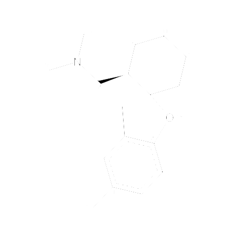 Cc1ccc2c(c1)C[C@]1(CCCC[C@@H]1CN(C)C)O2